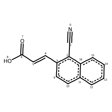 N#Cc1c(/C=C/C(=O)O)ccc2ccccc12